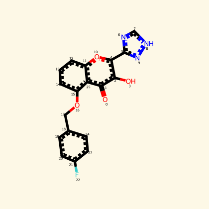 O=c1c(O)c(-c2nc[nH]n2)oc2cccc(OCc3ccc(F)cc3)c12